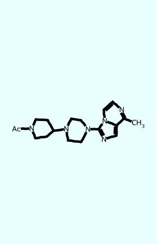 CC(=O)N1CCC(N2CCN(c3ncc4c(C)nccn34)CC2)CC1